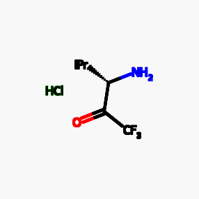 CC(C)[C@H](N)C(=O)C(F)(F)F.Cl